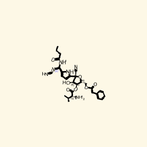 CCCC(=O)N/C(=N/C=N)c1ccc([C@]2(C#N)O[C@H](COC(=O)Cc3ccccc3)[C@@H](OC(=O)[C@@H](N)C(C)C)[C@H]2O)[nH]1